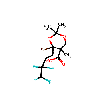 CC1(C)OCC(C)(C(=O)O)C(Br)(CCC(F)(F)C(F)F)O1